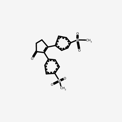 CS(=O)(=O)c1ccc(C2=C(c3ccc(S(C)(=O)=O)cc3)C(=O)CC2)cc1